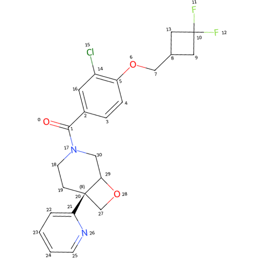 O=C(c1ccc(OCC2CC(F)(F)C2)c(Cl)c1)N1CC[C@@]2(c3ccccn3)COC2C1